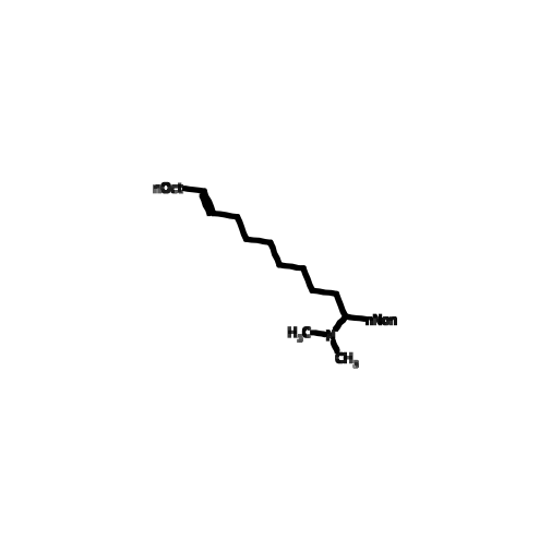 CCCCCCCC/C=C/CCCCCCCC(CCCCCCCCC)N(C)C